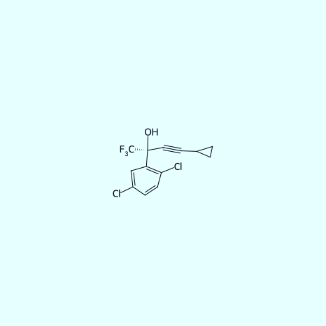 O[C@@](C#CC1CC1)(c1cc(Cl)ccc1Cl)C(F)(F)F